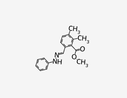 COC(=O)c1c(C=NNc2ccccc2)ccc(C)c1C